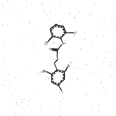 O=C(CCc1c(Br)cc(I)cc1Br)Nc1c(Cl)cccc1Cl